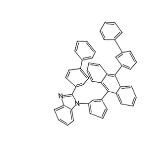 c1ccc(-c2ccc(-c3nc4ccccc4n3-c3cccc(-c4c5ccccc5c(-c5cccc(-c6ccccc6)c5)c5ccccc45)c3)cc2)cc1